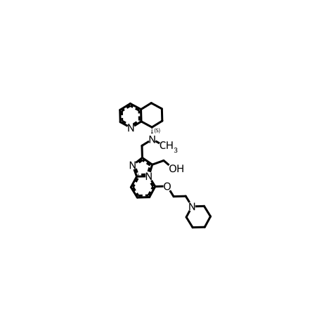 CN(Cc1nc2cccc(OCCN3CCCCC3)n2c1CO)[C@H]1CCCc2cccnc21